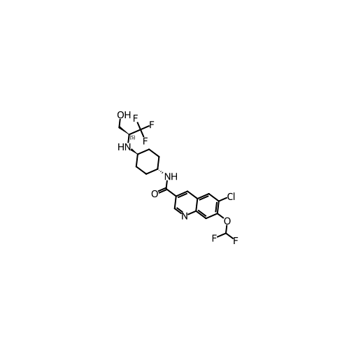 O=C(N[C@H]1CC[C@H](N[C@@H](CO)C(F)(F)F)CC1)c1cnc2cc(OC(F)F)c(Cl)cc2c1